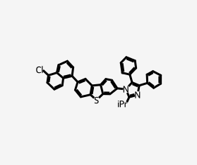 CC(C)c1nc(-c2ccccc2)c(-c2ccccc2)n1-c1ccc2c(c1)sc1ccc(-c3cccc4c(Cl)cccc34)cc12